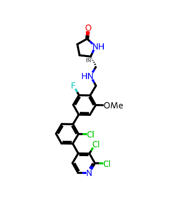 COc1cc(-c2cccc(-c3ccnc(Cl)c3Cl)c2Cl)cc(F)c1CNC[C@@H]1CCC(=O)N1